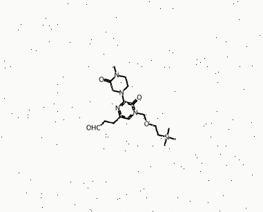 CN1CCN(c2nc(CCC=O)cn(COCC[Si](C)(C)C)c2=O)CC1=O